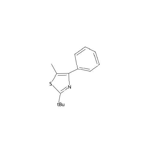 Cc1sc(C(C)(C)C)nc1-c1ccccc1